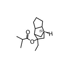 CCC1(OC(=O)C(C)C)C[C@@H]2CC1C1CCCC12